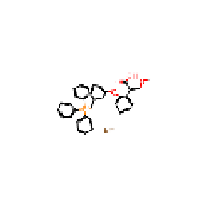 COC=C(C(=O)O)c1ccccc1Oc1cccc(C[P+](c2ccccc2)(c2ccccc2)c2ccccc2)c1.[Br-]